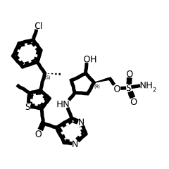 Cc1sc(C(=O)c2cncnc2NC2CC(O)[C@@H](COS(N)(=O)=O)C2)cc1[C@@H](C)c1cccc(Cl)c1